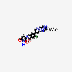 COc1cnc(CN2CCC(c3cc4c(cc3F)C(=O)N(C3CCC(=O)NC3=O)C4)CC2)cn1